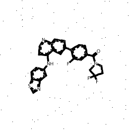 O=C(c1ccc(-c2ccc3nccc(Nc4ccc5scnc5c4)c3c2)c(F)c1)N1CCC(F)(F)C1